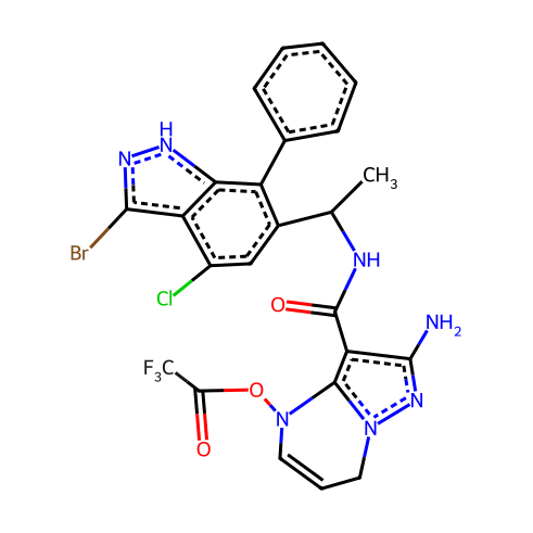 CC(NC(=O)c1c(N)nn2c1N(OC(=O)C(F)(F)F)C=CC2)c1cc(Cl)c2c(Br)n[nH]c2c1-c1ccccc1